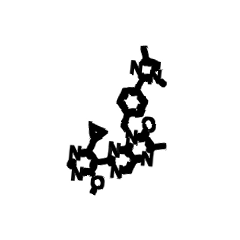 COc1ncnc(C2CC2)c1-c1ncc2nc(C)c(=O)n(Cc3ccc(-c4nc(C)cn4C)cc3)c2n1